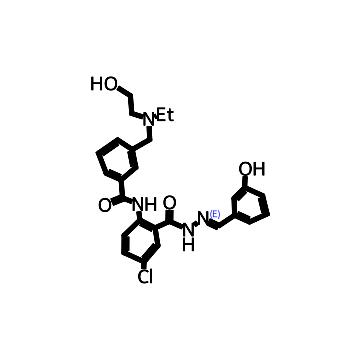 CCN(CCO)Cc1cccc(C(=O)Nc2ccc(Cl)cc2C(=O)N/N=C/c2cccc(O)c2)c1